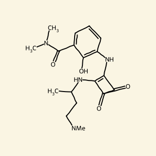 CNCCC(C)Nc1c(Nc2cccc(C(=O)N(C)C)c2O)c(=O)c1=O